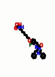 O=C(O)NCCCCCCCCOc1ccc(/C=C2\N=C3C(Cc4ccccc4)=NC(c4ccccc4)=CN3C2=O)cc1F